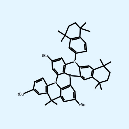 CC(C)(C)c1cc2c3c(c1)N1c4ccc(C(C)(C)C)cc4C(C)(C)c4cc(C(C)(C)C)cc(c41)B3c1cc3c(cc1N2c1ccc2c(c1)C(C)(C)CCC2(C)C)C(C)(C)CCC3(C)C